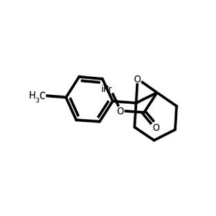 Cc1ccc(C23CCCCC2(C(=O)OC(C)C)O3)cc1